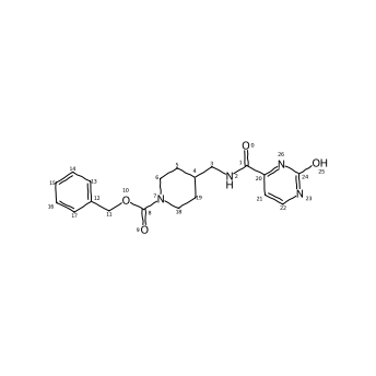 O=C(NCC1CCN(C(=O)OCc2ccccc2)CC1)c1ccnc(O)n1